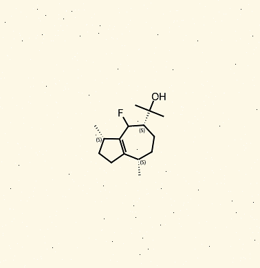 C[C@H]1CC[C@@H](C(C)(C)O)C(F)C2=C1CC[C@@H]2C